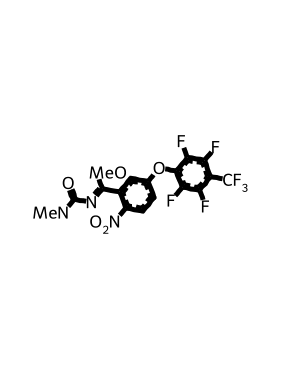 CNC(=O)N=C(OC)c1cc(Oc2c(F)c(F)c(C(F)(F)F)c(F)c2F)ccc1[N+](=O)[O-]